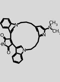 CN(C)c1cc2cc(n1)CCCn1cc(c3ccccc31)C1=C(C(=O)NC1=O)c1cn(c3ccccc13)CCC2